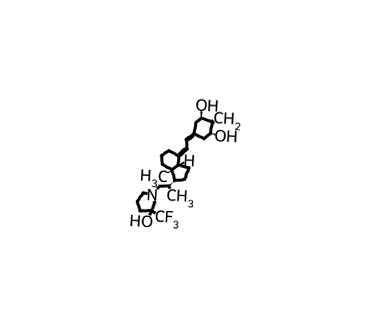 C=C1[C@H](O)CC(=C/C=C2\CCC[C@]3(C)[C@@H](C(C)CN4CCCC(O)(C(F)(F)F)C4)CC[C@@H]23)C[C@H]1O